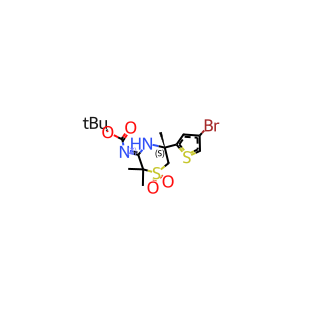 CC(C)(C)OC(=O)/N=C1\N[C@](C)(c2cc(Br)cs2)CS(=O)(=O)C1(C)C